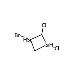 ClC1[SiH](Cl)C[SiH]1Br